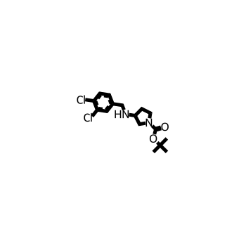 CC(C)(C)OC(=O)N1CCC(NCc2ccc(Cl)c(Cl)c2)C1